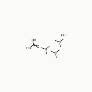 CN(C)C.CN(C)C.CN(C)C.O=C(O)O.[HH]